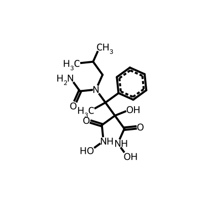 CC(C)CN(C(N)=O)C(C)(c1ccccc1)C(O)(C(=O)NO)C(=O)NO